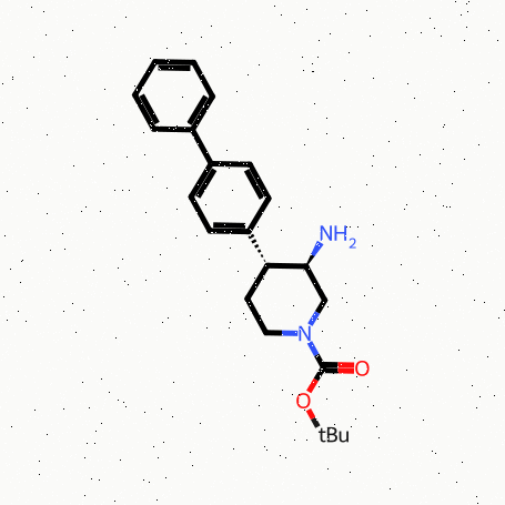 CC(C)(C)OC(=O)N1CC[C@H](c2ccc(-c3ccccc3)cc2)[C@@H](N)C1